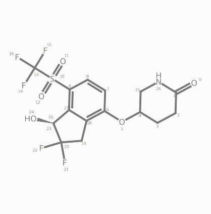 O=C1CCC(Oc2ccc(S(=O)(=O)C(F)(F)F)c3c2CC(F)(F)[C@H]3O)CN1